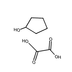 O=C(O)C(=O)O.OC1CCCC1